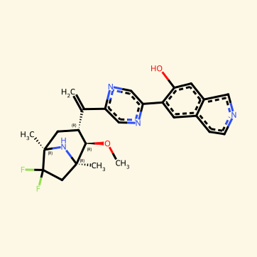 C=C(c1cnc(-c2cc3ccncc3cc2O)cn1)[C@H]1C[C@@]2(C)N[C@](C)(CC2(F)F)[C@@H]1OC